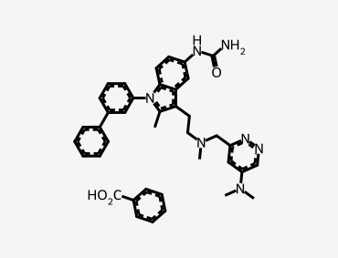 Cc1c(CCN(C)Cc2cc(N(C)C)cnn2)c2cc(NC(N)=O)ccc2n1-c1cccc(-c2ccccc2)c1.O=C(O)c1ccccc1